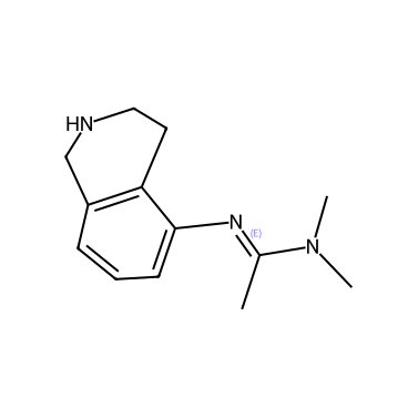 C/C(=N\c1cccc2c1CCNC2)N(C)C